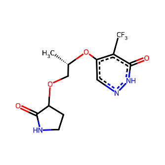 C[C@@H](COC1CCNC1=O)Oc1cn[nH]c(=O)c1C(F)(F)F